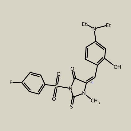 CCN(CC)c1ccc(/C=C2\C(=O)N(S(=O)(=O)c3ccc(F)cc3)C(=S)N2C)c(O)c1